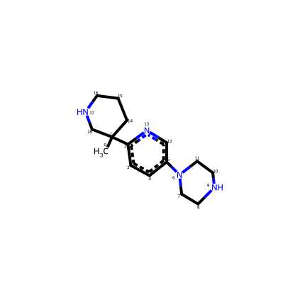 CC1(c2ccc(N3CCNCC3)cn2)CCCNC1